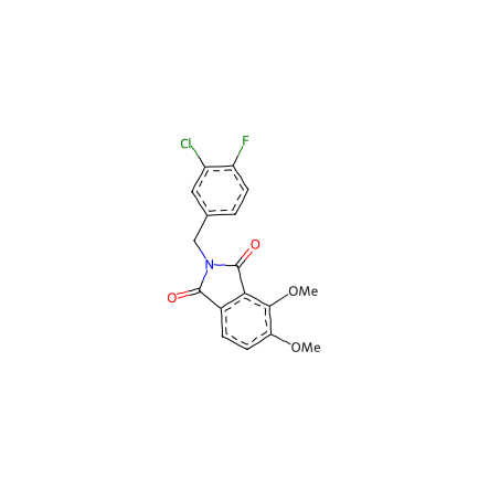 COc1ccc2c(c1OC)C(=O)N(Cc1ccc(F)c(Cl)c1)C2=O